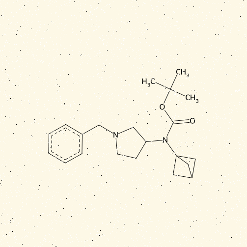 CC(C)(C)OC(=O)N(C1CCN(Cc2ccccc2)C1)C12CC(C1)C2